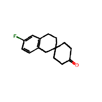 O=C1CCC2(CC1)CCc1cc(F)ccc1C2